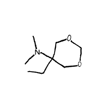 CCC1(N(C)C)COCOC1